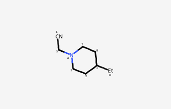 [CH2]CC1CCN(CC#N)CC1